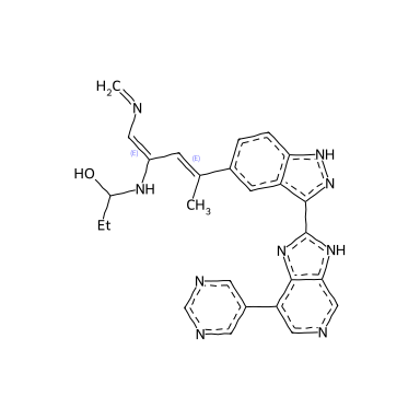 C=N/C=C(\C=C(/C)c1ccc2[nH]nc(-c3nc4c(-c5cncnc5)cncc4[nH]3)c2c1)NC(O)CC